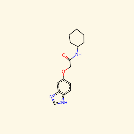 O=C(COc1ccc2[nH][c]nc2c1)NC1CCCCC1